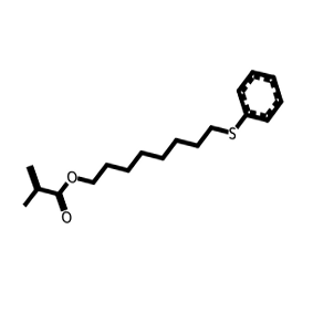 C=C(C)C(=O)OCCCCCCCCSc1ccccc1